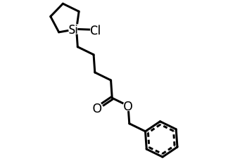 O=C(CCCC[Si]1(Cl)CCCC1)OCc1ccccc1